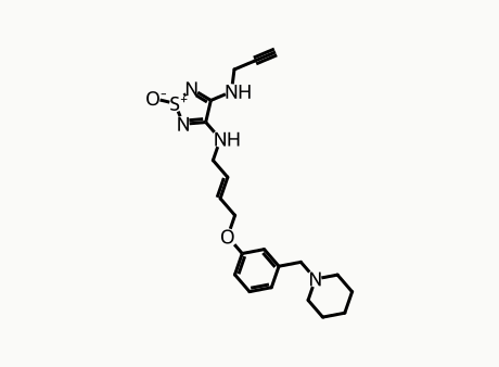 C#CCNc1n[s+]([O-])nc1NCC=CCOc1cccc(CN2CCCCC2)c1